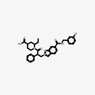 CCC1CC(C(=O)O)CCN1C(=O)C(Cn1cc2ccc(C(=O)NCc3cccc(Cl)c3)cc2n1)c1ccccc1